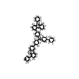 c1ccc(-c2ccc(N(c3ccc(-c4ccc5oc6c(-c7ccccc7)cccc6c5c4)cc3)c3ccc(-c4cccc5c4c4ccccc4n5-c4ccccc4)cc3)cc2)cc1